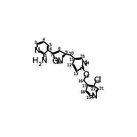 Nc1ncccc1-c1cc(Cc2ccc(OCc3ccncc3Cl)nc2)no1